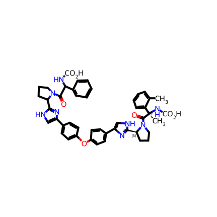 Cc1ccccc1[C@@](C)(NC(=O)O)C(=O)N1CCC[C@H]1c1nc(-c2ccc(Oc3ccc(-c4c[nH]c(C5CCCN5C(=O)C(NC(=O)O)c5ccccc5)n4)cc3)cc2)c[nH]1